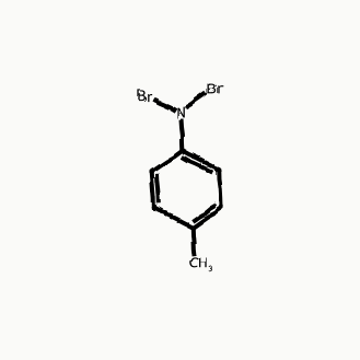 Cc1ccc(N(Br)Br)cc1